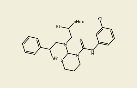 CCCCCCC(CC)CN(CC(CCC)c1ccccc1)C1SCCCN1C(=S)Nc1cccc(Cl)c1